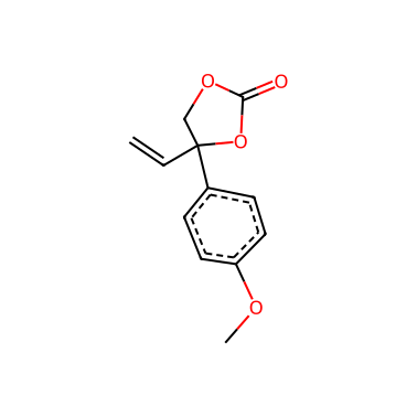 C=CC1(c2ccc(OC)cc2)COC(=O)O1